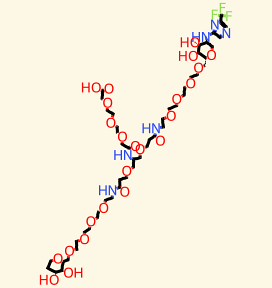 O=C(O)COCCOCCOCC(=O)NC(COCCC(=O)NCCOCCOCCOCCOCC1OCC[C@@H](O)[C@H]1O)COCCC(=O)NCCOCCOCCOCCOC[C@H]1OC[C@H](Nc2cncc(C(F)(F)F)n2)[C@@H](O)[C@H]1O